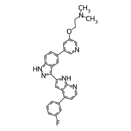 CN(C)CCOc1cncc(-c2ccc3[nH]nc(-c4cc5c(-c6cccc(F)c6)ccnc5[nH]4)c3c2)c1